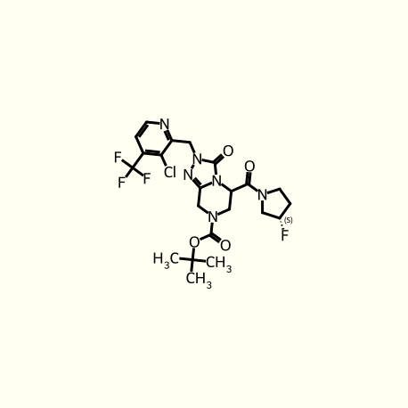 CC(C)(C)OC(=O)N1Cc2nn(Cc3nccc(C(F)(F)F)c3Cl)c(=O)n2C(C(=O)N2CC[C@H](F)C2)C1